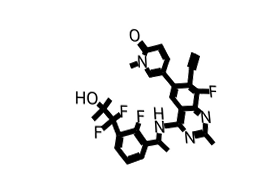 C#Cc1c(-c2ccc(=O)n(C)c2)cc2c(NC(C)c3cccc(C(F)(F)C(C)(C)O)c3F)nc(C)nc2c1F